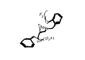 O=C(O)N[C@@H](Cc1ccccc1)[C@@H](O)CNCc1ccccc1OC(F)(F)F